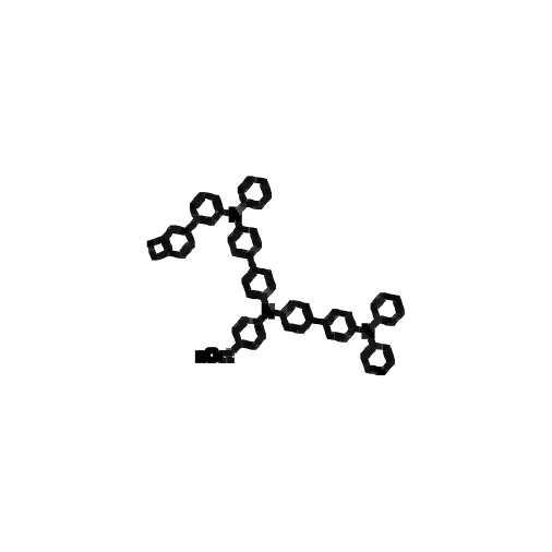 CCCCCCCCc1ccc(N(c2ccc(-c3ccc(N(c4ccccc4)c4ccccc4)cc3)cc2)c2ccc(-c3ccc(N(c4ccccc4)c4cccc(-c5ccc6c(c5)CC6)c4)cc3)cc2)cc1